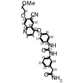 COCCOc1cc2nccc(Oc3ccc(NC(=O)Nc4cccc(CC(N)=O)c4)cc3)c2cc1C#N